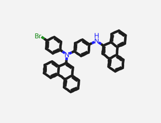 Brc1ccc(N(c2ccc(Nc3cc4ccccc4c4ccccc34)cc2)c2cc3ccccc3c3ccccc23)cc1